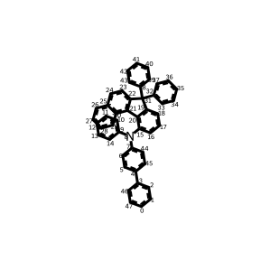 c1ccc(-c2ccc(N(c3ccccc3)c3cccc4c3-c3c(ccc5ccccc35)C4(c3ccccc3)c3ccccc3)cc2)cc1